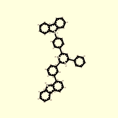 c1ccc(-c2cc(-c3ccc(-n4c5ccccc5c5ccccc54)cc3)nc(-c3cccc(-c4cccc5c4oc4ccccc45)c3)n2)cc1